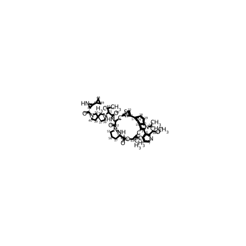 CCn1c(-c2cccnc2[C@H](C)OC)c2c3cc(ccc31)-c1csc(n1)C[C@H](NC(=O)C(C(C)C)N1CC[C@]3(CCN(C(=O)[C@@H]4NC4C4CC4)C3)C1)C(=O)N1CCC[C@H](N1)C(=O)OCC(C)(C)C2